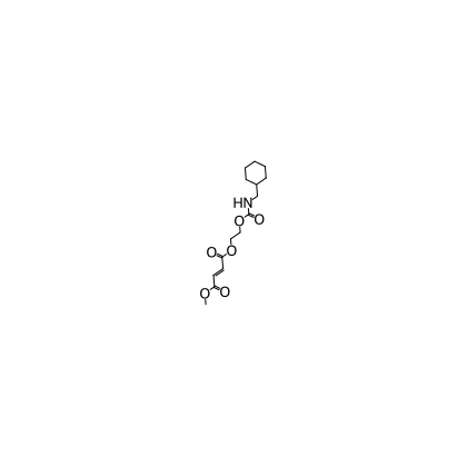 COC(=O)/C=C/C(=O)OCCOC(=O)NCC1CCCCC1